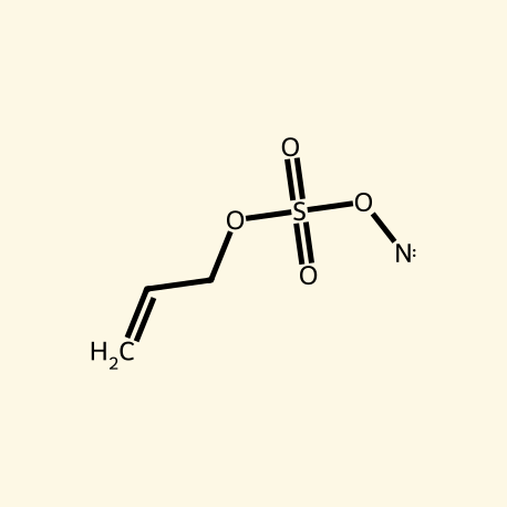 C=CCOS(=O)(=O)O[N]